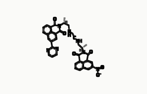 C[C@H](CNCCNC[C@H](C)N1C(=O)c2cccc3cc([N+](=O)[O-])cc(c23)C1=O)N1C(=O)c2cccc3cc(-c4ncccn4)cc(c23)C1=O